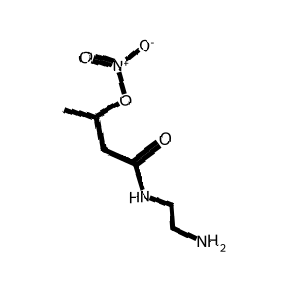 CC(CC(=O)NCCN)O[N+](=O)[O-]